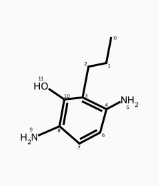 CCCc1c(N)ccc(N)c1O